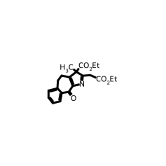 CCOC(=O)CC1=NC2=C(CCc3ccccc3C2=O)C1(C)C(=O)OCC